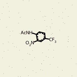 CC(=O)Nc1ccc(C(F)(F)F)cc1[N+](=O)[O-]